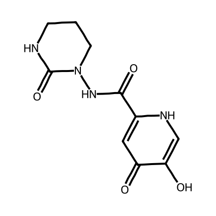 O=C(NN1CCCNC1=O)c1cc(=O)c(O)c[nH]1